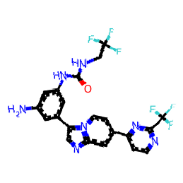 Nc1cc(NC(=O)NCC(F)(F)F)cc(-c2cnc3cc(-c4ccnc(C(F)(F)F)n4)ccn23)c1